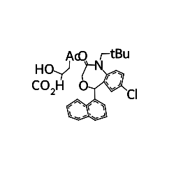 CC(=O)CC(O)C(=O)O.CC(C)(C)CN1C(=O)COC(c2cccc3ccccc23)c2cc(Cl)ccc21